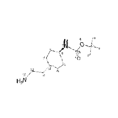 CC(C)(C)OC(=O)N[C@H]1CC[C@H](CCN)CC1